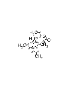 C=CCOC(=O)[O-].C=CC[N+](CC=C)(CC=C)CC=C